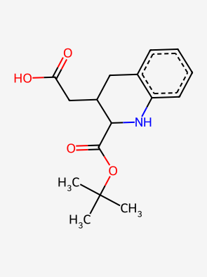 CC(C)(C)OC(=O)C1Nc2ccccc2CC1CC(=O)O